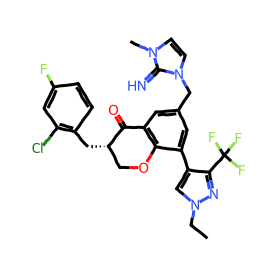 CCn1cc(-c2cc(Cn3ccn(C)c3=N)cc3c2OC[C@H](Cc2ccc(F)cc2Cl)C3=O)c(C(F)(F)F)n1